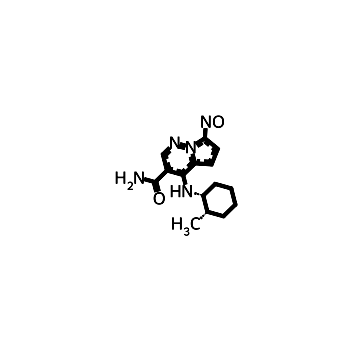 C[C@H]1CCCC[C@H]1Nc1c(C(N)=O)cnn2c(N=O)ccc12